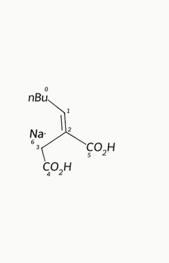 CCCCC=C(CC(=O)O)C(=O)O.[Na]